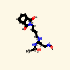 CB(O)N/C(=B\CN=O)NC/C=C/CN1C(=O)c2ccccc2C1=O